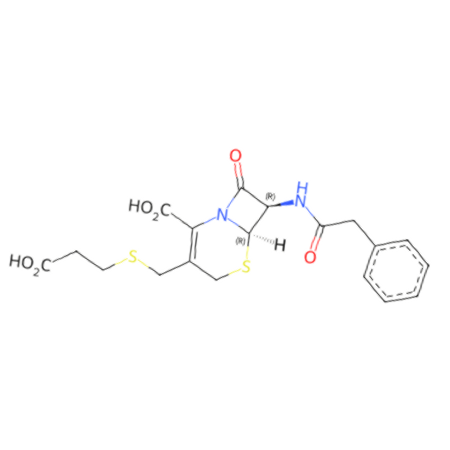 O=C(O)CCSCC1=C(C(=O)O)N2C(=O)[C@@H](NC(=O)Cc3ccccc3)[C@H]2SC1